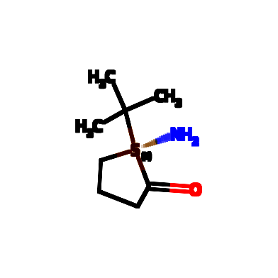 CC(C)(C)[S@]1(N)CCCC1=O